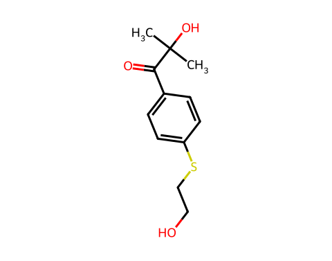 CC(C)(O)C(=O)c1ccc(SCCO)cc1